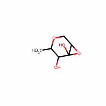 O=C(O)C1OCC2OC2(O)C1O